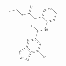 CCOC(=O)Cc1ccccc1NC(=O)c1cc(Br)c2occc2n1